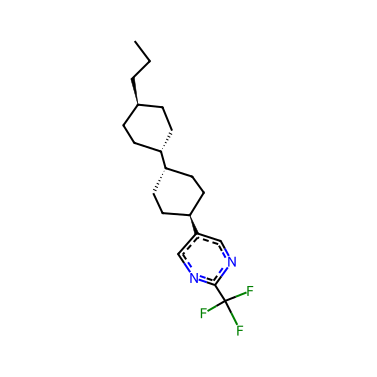 CCC[C@H]1CC[C@H]([C@H]2CC[C@H](c3cnc(C(F)(F)F)nc3)CC2)CC1